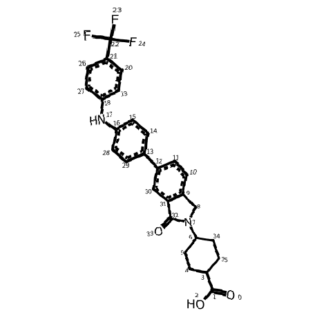 O=C(O)C1CCC(N2Cc3ccc(-c4ccc(Nc5ccc(C(F)(F)F)cc5)cc4)cc3C2=O)CC1